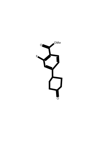 COC(=O)c1ccc(C2CCC(=O)CC2)cc1F